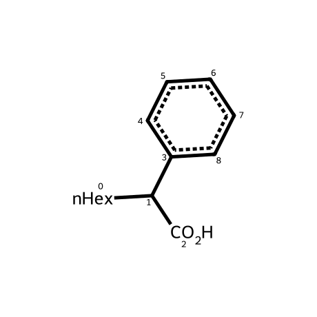 CCCCCCC(C(=O)O)c1ccccc1